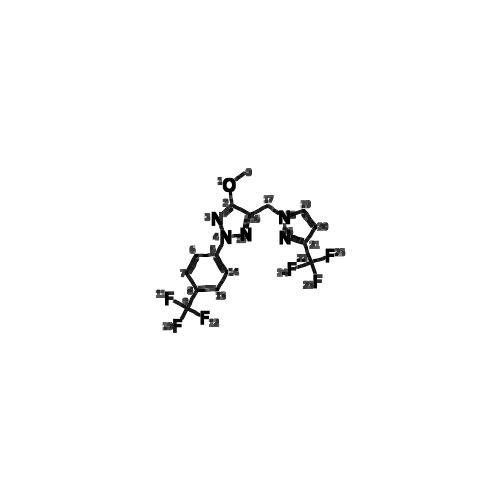 COc1nn(-c2ccc(C(F)(F)F)cc2)nc1Cn1ccc(C(F)(F)F)n1